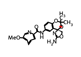 COC1=C\C=C\C=C(C(=O)Nc2ccc3c(c2)[C@]2(COC(N)=N2)C2(COC2)C(C)(C)O3)/N=C\1